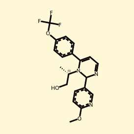 COc1ccc(C2N=CC=C(c3ccc(OC(F)(F)F)cc3)N2[C@@H](C)CO)cn1